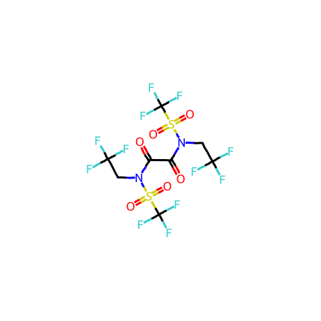 O=C(C(=O)N(CC(F)(F)F)S(=O)(=O)C(F)(F)F)N(CC(F)(F)F)S(=O)(=O)C(F)(F)F